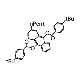 CCCCCc1ccc2c(OC(=O)c3ccc(C(C)(C)C)cc3)c3ccccc3c(OC(=O)c3ccc(C(C)(C)C)cc3)c2c1